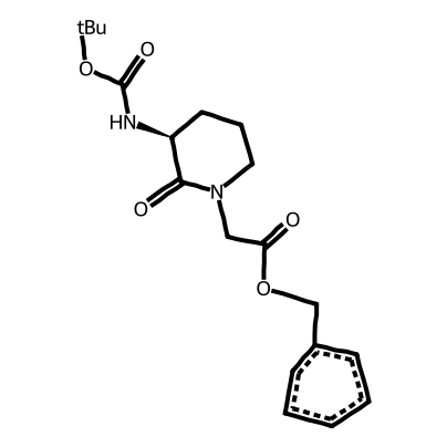 CC(C)(C)OC(=O)N[C@H]1CCCN(CC(=O)OCc2ccccc2)C1=O